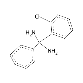 NC(N)(c1ccccc1)c1ccccc1Cl